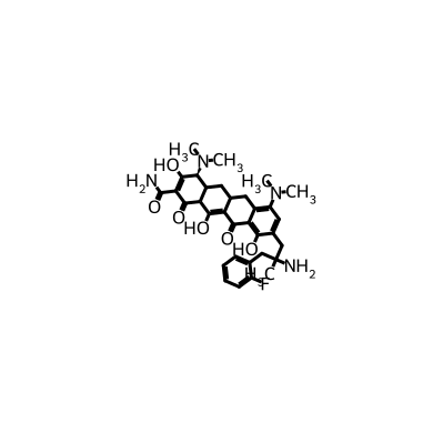 CN(C)c1cc(CC(C)(N)Cc2ccccc2F)c(O)c2c1CC1CC3C(C(=O)C(C(N)=O)=C(O)[C@H]3N(C)C)C(O)=C1C2=O